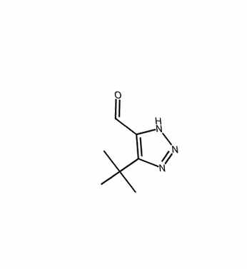 CC(C)(C)c1nn[nH]c1C=O